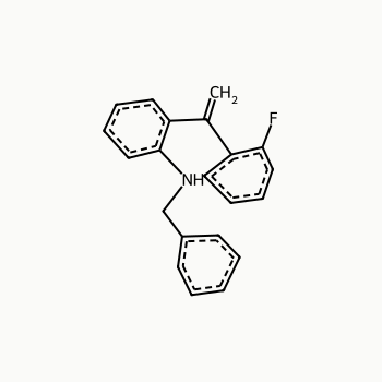 C=C(c1ccccc1F)c1ccccc1NCc1ccccc1